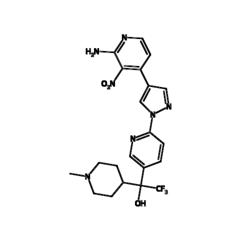 CN1CCC(C(O)(c2ccc(-n3cc(-c4ccnc(N)c4[N+](=O)[O-])cn3)nc2)C(F)(F)F)CC1